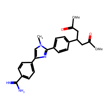 COC(=O)CC(CC(=O)OC)c1ccc(-c2nc(-c3ccc(C(=N)N)cc3)cn2C)cc1